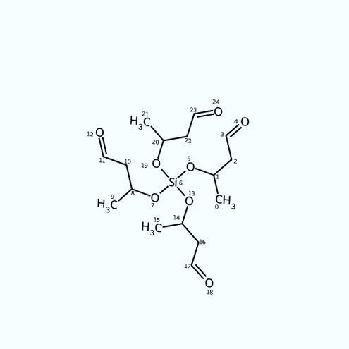 CC(CC=O)O[Si](OC(C)CC=O)(OC(C)CC=O)OC(C)CC=O